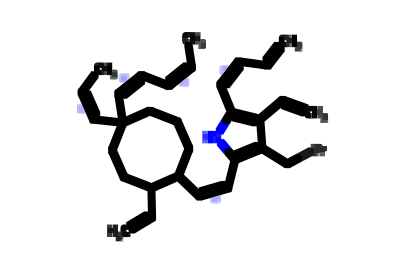 C=C/C=C\c1[nH]c(/C=C\C2CCCC(/C=C\C)(/C=C\C=C/C)CCC2C=C)c(CC(C)C)c1C=C